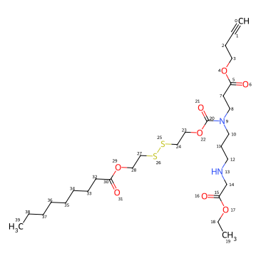 C#CCCOC(=O)CCN(CCCNCC(=O)OCC)C(=O)OCCSSCCOC(=O)CCCCCCCC